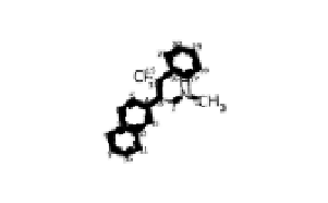 CNC[C@H](c1ccc2ccccc2c1)[C@H](Cl)c1ccccc1